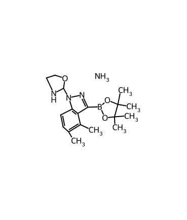 Cc1ccc2c(c(B3OC(C)(C)C(C)(C)O3)nn2C2NCCO2)c1C.N